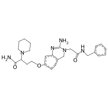 NC(=O)C(CCOc1ccc2c(c1)N=C(N)N(CC(=O)NCc1ccccc1)C2)N1CCCCC1